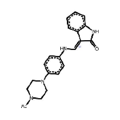 CC(=O)N1CCN(c2ccc(N/C=C3/C(=O)Nc4ccccc43)cc2)CC1